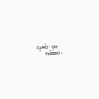 [Ca+2].[OH-].[OH-].[O]=[Fe]